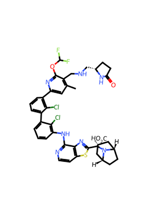 Cc1cc(-c2cccc(-c3cccc(Nc4nccc5sc(CN6[C@@H]7CC[C@H]6C[C@@H](C(=O)O)C7)nc45)c3Cl)c2Cl)nc(OC(F)F)c1CNC[C@@H]1CCC(=O)N1